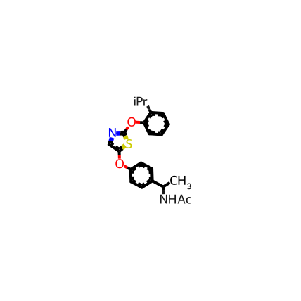 CC(=O)NC(C)c1ccc(Oc2cnc(Oc3ccccc3C(C)C)s2)cc1